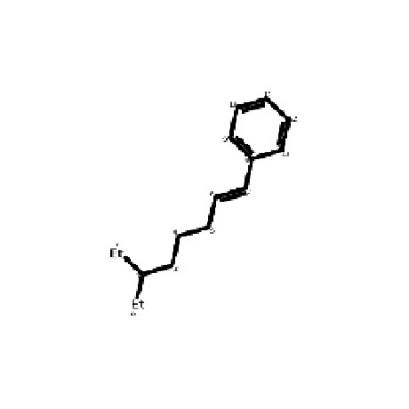 CCC(CC)CCCC=Cc1ccccc1